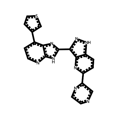 c1cnc(-c2ccc3[nH]nc(-c4nc5c(-c6ccsc6)ccnc5[nH]4)c3n2)cn1